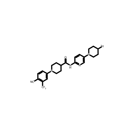 [2H]C1CCN(c2ccc(NC(=O)C3CCN(c4ccc(C#N)c(C(F)(F)F)c4)CC3)nc2)CC1